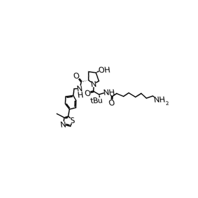 Cc1ncsc1-c1ccc(CNC(=O)[C@@H]2C[C@@H](O)CN2C(=O)[C@@H](NC(=O)CCCCCCCN)C(C)(C)C)cc1